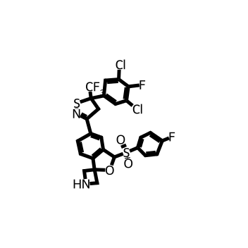 O=S(=O)(c1ccc(F)cc1)C1OC2(CNC2)c2ccc(C3=NSC(c4cc(Cl)c(F)c(Cl)c4)(C(F)(F)F)C3)cc21